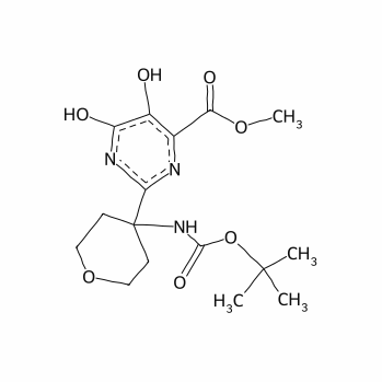 COC(=O)c1nc(C2(NC(=O)OC(C)(C)C)CCOCC2)nc(O)c1O